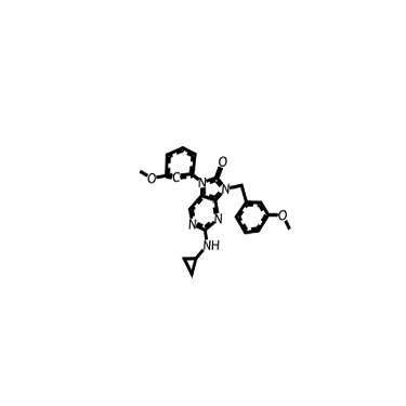 COc1cccc(Cn2c(=O)n(-c3cccc(OC)c3)c3cnc(NC4CC4)nc32)c1